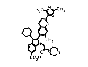 Cc1nc(C)c(-c2ccc3cc(-c4c(C5CCCCC5)c5ccc(C(=O)O)cc5n4CC(=O)N4CCOCC4)c(C)cc3n2)s1